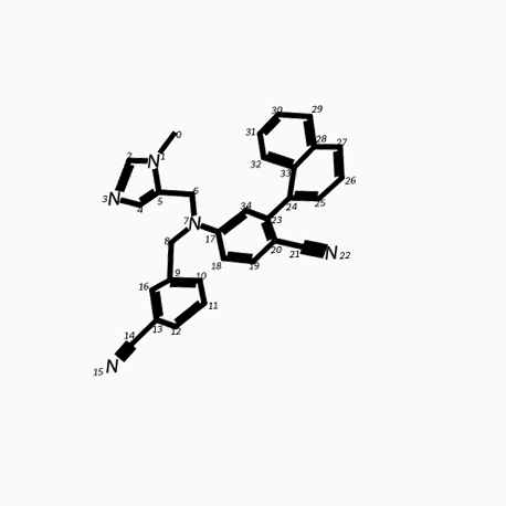 Cn1cncc1CN(Cc1cccc(C#N)c1)c1ccc(C#N)c(-c2cccc3ccccc23)c1